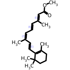 COC(=O)/C=C(C)/C=C/C=C(C)\C=C\C1=C(C)CCCC1(C)C